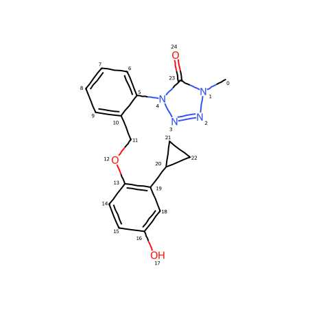 Cn1nnn(-c2ccccc2COc2ccc(O)cc2C2CC2)c1=O